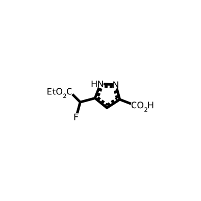 CCOC(=O)C(F)c1cc(C(=O)O)n[nH]1